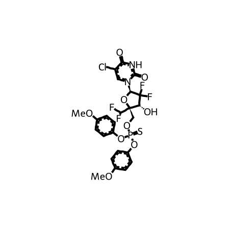 COc1ccc(OP(=S)(OC[C@@]2(C(F)F)O[C@@H](n3cc(Cl)c(=O)[nH]c3=O)C(F)(F)[C@@H]2O)Oc2ccc(OC)cc2)cc1